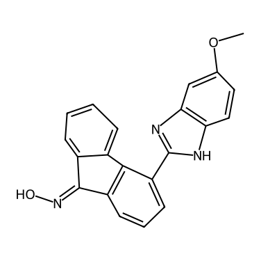 COc1ccc2[nH]c(-c3cccc4c3-c3ccccc3C4=NO)nc2c1